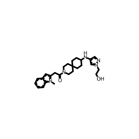 Cn1c(CC(=O)N2CCC3(CCC(Nc4cnn(CCO)c4)CC3)CC2)cc2ccccc21